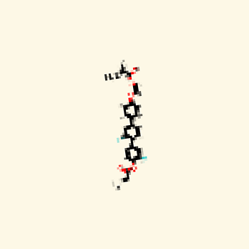 C=CC(=O)Oc1ccc(-c2ccc(-c3ccc(O/C=C\OC(=O)C(=C)C)cc3)cc2F)cc1F